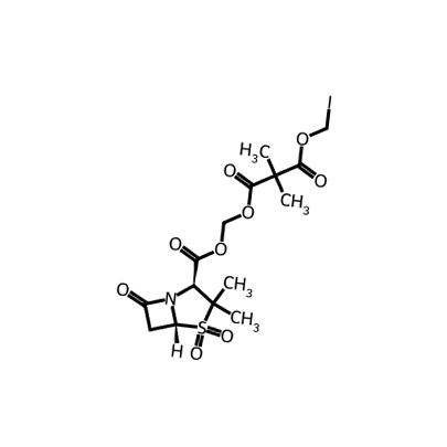 CC(C)(C(=O)OCI)C(=O)OCOC(=O)[C@@H]1N2C(=O)C[C@H]2S(=O)(=O)C1(C)C